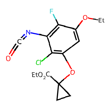 CCOC(=O)C1(Oc2cc(OCC)c(F)c(N=C=O)c2Cl)CC1